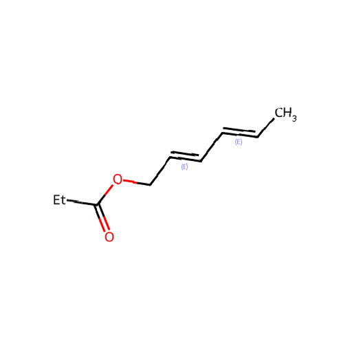 C/C=C/C=C/COC(=O)CC